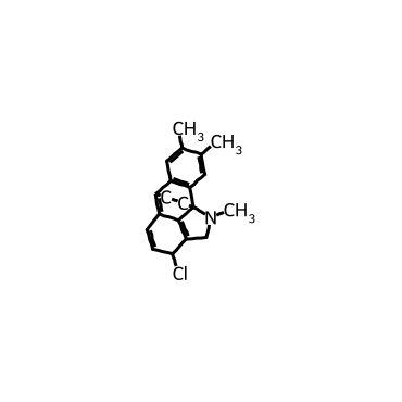 Cc1cc2c(cc1C)C13CCC2=C2C=CC(Cl)C(=C21)CN3C